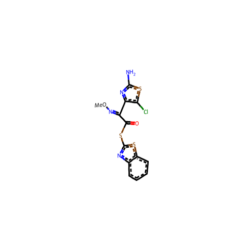 CON=C(C(=O)Sc1nc2ccccc2s1)c1nc(N)sc1Cl